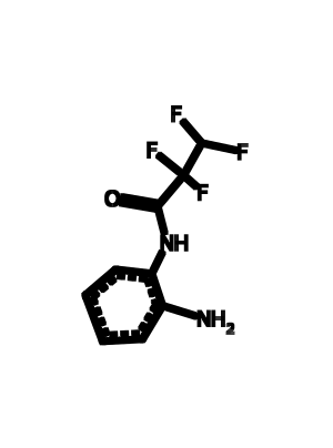 Nc1ccccc1NC(=O)C(F)(F)C(F)F